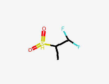 CC(C(F)F)[SH](=O)=O